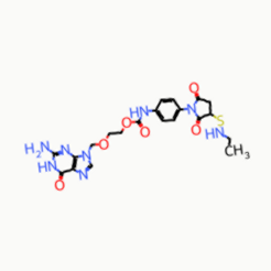 CCNSC1CC(=O)N(c2ccc(NC(=O)OCCOCn3cnc4c(=O)[nH]c(N)nc43)cc2)C1=O